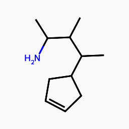 CC(N)C(C)C(C)C1CC=CC1